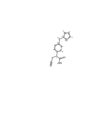 C#CCC(C(=O)O)c1ccc(Oc2nccs2)cc1